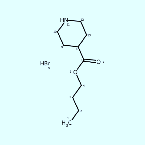 Br.CCCCOC(=O)C1CCNCC1